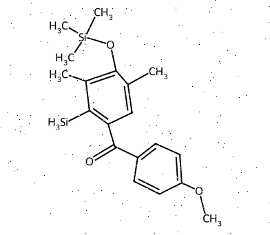 COc1ccc(C(=O)c2cc(C)c(O[Si](C)(C)C)c(C)c2[SiH3])cc1